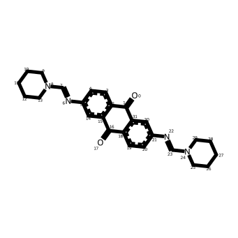 O=C1c2ccc(N=CN3CCCCC3)cc2C(=O)c2ccc(N=CN3CCCCC3)cc21